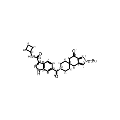 CC(C)(C)n1cc2c(n1)C(=O)CC1(CCN(C(=O)c3ccc4c(C(=O)NC5CCC5)n[nH]c4c3)CC1)C2